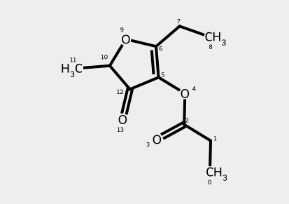 CCC(=O)OC1=C(CC)OC(C)C1=O